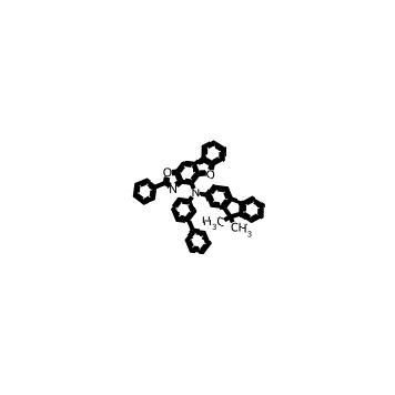 CC1(C)c2ccccc2-c2ccc(N(c3cccc(-c4ccccc4)c3)c3c4nc(-c5ccccc5)oc4cc4c3oc3ccccc34)cc21